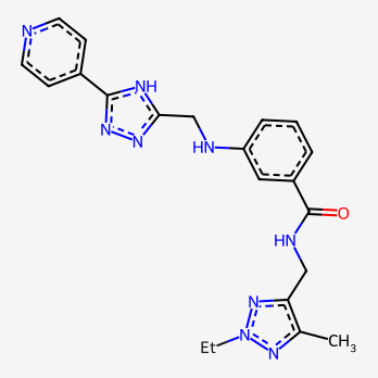 CCn1nc(C)c(CNC(=O)c2cccc(NCc3nnc(-c4ccncc4)[nH]3)c2)n1